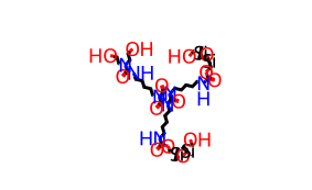 C[Si](C)(CO)O[Si](C)(C)COC(=O)NCCCCCn1c(=O)n(CCCCCNC(=O)OC[Si](C)(C)O[Si](C)(C)CO)c(=O)n(CCCCCNC(=O)N(CCO)CCO)c1=O